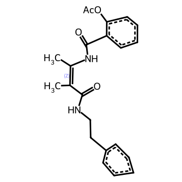 CC(=O)Oc1ccccc1C(=O)N/C(C)=C(/C)C(=O)NCCc1ccccc1